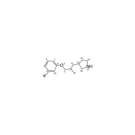 CC(COc1cccc(F)c1)CC1CCNC1